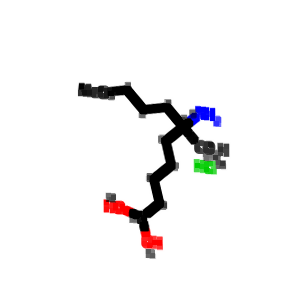 COCCCC(N)(CCCCB(O)O)C(=O)O.Cl